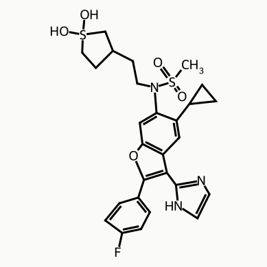 CS(=O)(=O)N(CCC1CCS(O)(O)C1)c1cc2oc(-c3ccc(F)cc3)c(-c3ncc[nH]3)c2cc1C1CC1